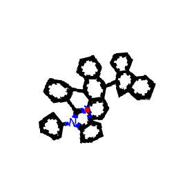 c1ccc(-n2c(-c3ccccc3-c3c4ccccc4c(-c4cc5ccccc5c5ccccc45)c4ccccc34)nc3ccccc32)cc1